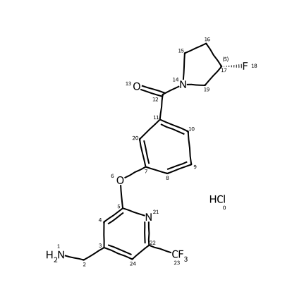 Cl.NCc1cc(Oc2cccc(C(=O)N3CC[C@H](F)C3)c2)nc(C(F)(F)F)c1